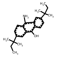 CCC(C)(C)c1ccc2c(O)c3cc(C(C)(C)CC)ccc3c(N)c2c1